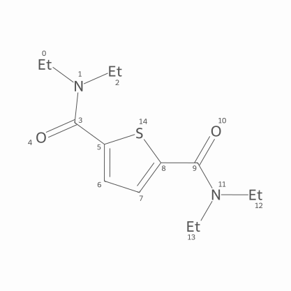 CCN(CC)C(=O)c1ccc(C(=O)N(CC)CC)s1